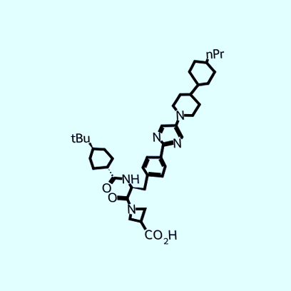 CCCC1CCC(C2CCN(c3cnc(-c4ccc(C[C@H](NC(=O)[C@H]5CC[C@H](C(C)(C)C)CC5)C(=O)N5CC(C(=O)O)C5)cc4)nc3)CC2)CC1